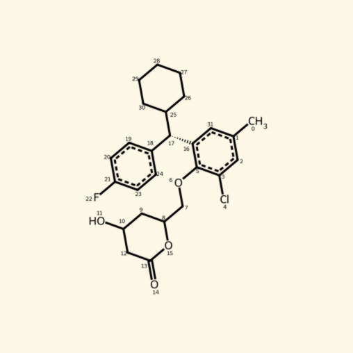 Cc1cc(Cl)c(OCC2CC(O)CC(=O)O2)c([C@H](c2ccc(F)cc2)C2CCCCC2)c1